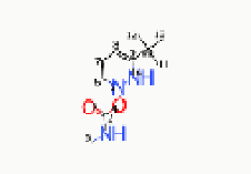 CNC(=O)ON1C=CC=C(C(C)(C)C)N1